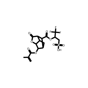 C=C(C)C(=O)OC1C2CC3C1OC(=O)C3C2C(=O)OC(CS(=O)(=O)O)C(F)(F)F